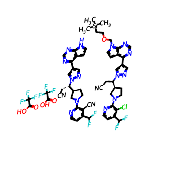 C[Si](C)(C)CCOCn1ccc2c(-c3cnn(C(CC#N)[C@H]4CCN(c5nccc(C(F)F)c5Cl)C4)c3)ncnc21.N#CC[C@@H]([C@H]1CCN(c2nccc(C(F)F)c2C#N)C1)n1cc(-c2ncnc3[nH]ccc23)cn1.O=C(O)C(F)(F)F.O=C(O)C(F)(F)F